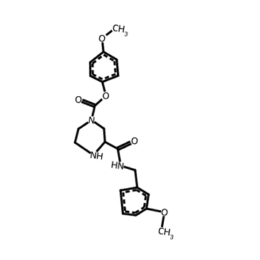 COc1ccc(OC(=O)N2CCNC(C(=O)NCc3cccc(OC)c3)C2)cc1